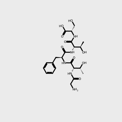 C[C@@H](O)[C@H](NC(=O)CN)C(=O)N[C@@H](Cc1ccccc1)C(=O)N[C@H](C(=O)N[C@@H](CO)C(=O)O)[C@@H](C)O